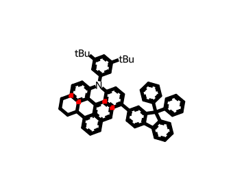 CC(C)(C)c1cc(N(c2ccc(-c3ccc4c(c3)C(c3ccccc3)(c3ccccc3)c3ccccc3-4)cc2)c2ccccc2-c2cccc3cccc(C4CCCCC4)c23)cc(C(C)(C)C)c1